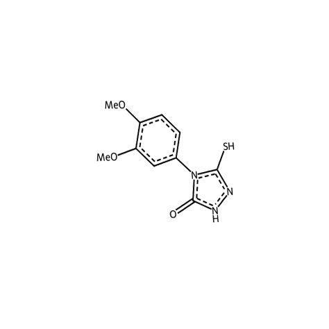 COc1ccc(-n2c(S)n[nH]c2=O)cc1OC